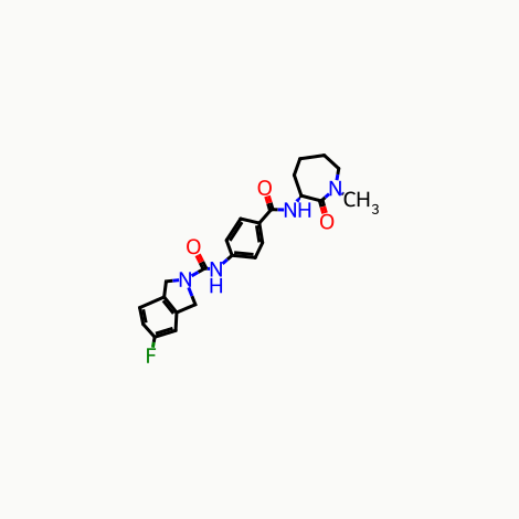 CN1CCCC[C@H](NC(=O)c2ccc(NC(=O)N3Cc4ccc(F)cc4C3)cc2)C1=O